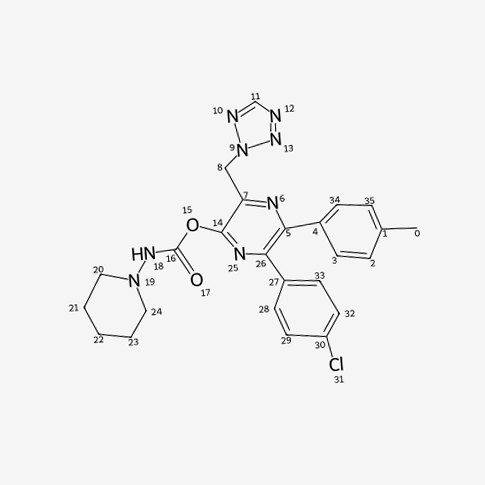 Cc1ccc(-c2nc(Cn3ncnn3)c(OC(=O)NN3CCCCC3)nc2-c2ccc(Cl)cc2)cc1